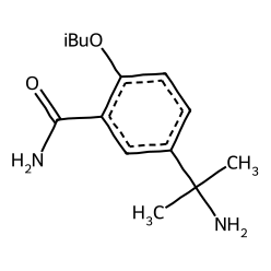 CC(C)COc1ccc(C(C)(C)N)cc1C(N)=O